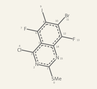 CSc1nc(Cl)c2c(F)c(I)c(Br)c(F)c2n1